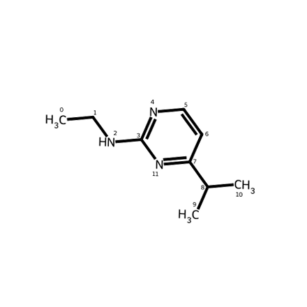 CCNc1nccc(C(C)C)n1